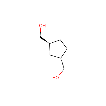 OC[C@H]1CC[C@H](CO)C1